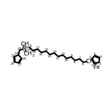 C1=CCC=C1.CCCCCCCCCCCCCCC[N+](C)(C)CC1C=CC=C1.[Fe]